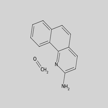 C=O.Nc1ccc2ccc3ccccc3c2n1